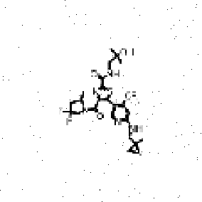 CC1CC(F)(F)CN1C(=O)c1nc(C(=O)NCC(C)(C)O)sc1-c1cnc(NCC2(C)CC2)cc1C(F)(F)F